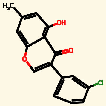 Cc1cc(O)c2c(=O)c(-c3cccc(Cl)c3)coc2c1